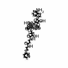 CC(C)(COP(=O)(O)OP(=O)(O)OC[C@H]1O[C@@H](n2cnc3c(N)ncnc32)[C@H](O)[C@@H]1OP(=O)(O)O)[C@@H](O)C(=O)NCCC(=O)NCCSc1cccnn1